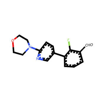 O=Cc1cccc(-c2ccc(N3CCOCC3)nc2)c1F